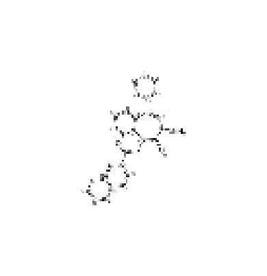 NC1N=C(c2ccccc2)c2ccccc2N(CC(=O)c2ccc3ccccc3c2)C1=O